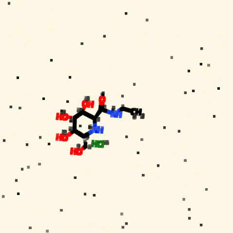 CCNC(=O)[C@H]1N[C@H](CO)[C@@H](O)[C@H](O)[C@@H]1O.Cl